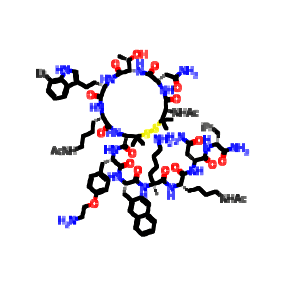 CCc1cccc2c(CC[C@@H]3NC(=O)[C@H]([C@@H](C)O)NC(=O)[C@H](CC(N)=O)NC(=O)[C@@H](NC(C)=O)C(C)(C)SSC(C)(C)[C@@H](C(=O)N[C@@H](Cc4ccc(OCCN)cc4)C(=O)N[C@@H](Cc4ccc5ccccc5c4)C(=O)N[C@@](C)(CCCCN)C(=O)N[C@@H](CCCCNC(C)=O)C(=O)N[C@@H](CC(N)=O)C(=O)N[C@H](CC(C)C)C(N)=O)NC(=O)[C@H](CCCCNC(C)=O)NC3=O)c[nH]c12